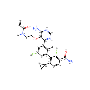 C=CC(=O)N(C)CCOc1c(N)ncnc1-c1cc(F)cc(-c2c(C3CC3)ccc(C(N)=O)c2F)c1C